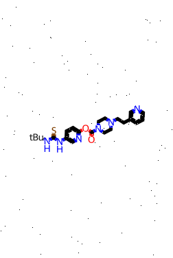 CC(C)(C)NC(=S)Nc1ccc(OC(=O)N2CCN(CCc3cccnc3)CC2)nc1